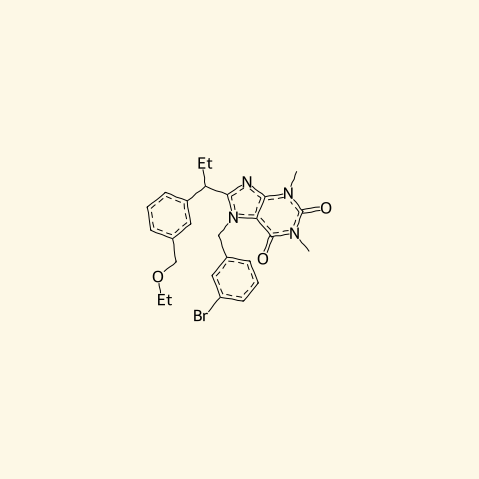 CCOCc1cccc(C(CC)c2nc3c(c(=O)n(C)c(=O)n3C)n2Cc2cccc(Br)c2)c1